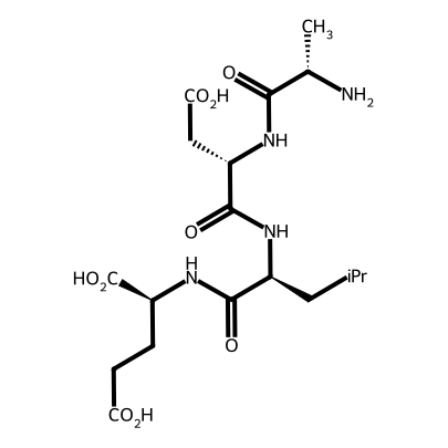 CC(C)C[C@H](NC(=O)[C@H](CC(=O)O)NC(=O)[C@H](C)N)C(=O)N[C@@H](CCC(=O)O)C(=O)O